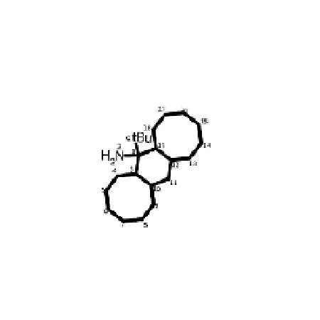 CC(C)(C)C1(N)C2CCCCCCC2CC2CCCCCCC21